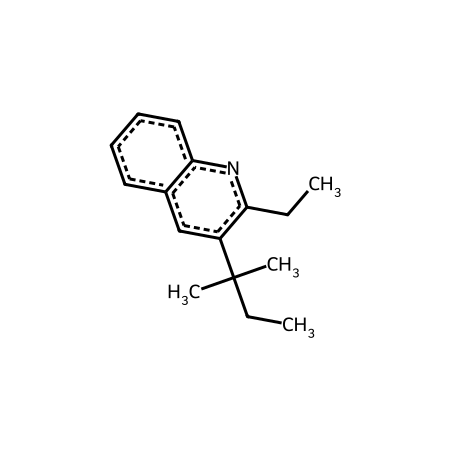 CCc1nc2ccccc2cc1C(C)(C)CC